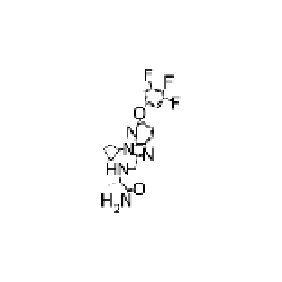 C[C@H](NCc1nc2ccc(Oc3cc(F)c(F)c(F)c3)nc2n1C1CCC1)C(N)=O